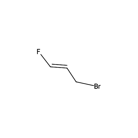 FC=CCBr